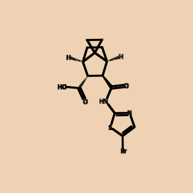 O=C(O)[C@H]1[C@H](C(=O)Nc2ncc(Br)s2)[C@@H]2CC[C@H]1C21CC1